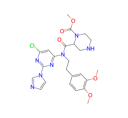 COC(=O)N1CCNCC1C(=O)N(CCc1ccc(OC)c(OC)c1)c1cc(Cl)nc(-n2ccnc2)n1